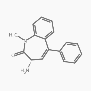 CN1C(=O)[C@@H](N)C=C(c2ccccc2)c2ccccc21